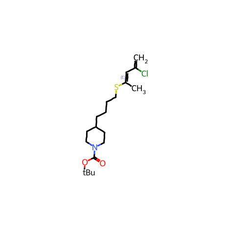 C=C(Cl)/C=C(\C)SCCCCC1CCN(C(=O)OC(C)(C)C)CC1